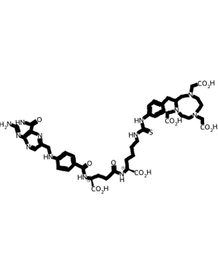 Nc1nc2ncc(CNc3ccc(C(=O)N[C@@H](CCC(=O)N[C@@H](CCCCNC(=S)Nc4ccc(CC5CN(CC(=O)O)CCN(CC(=O)O)CCN5CC(=O)O)cc4)C(=O)O)C(=O)O)cc3)nc2c(=O)[nH]1